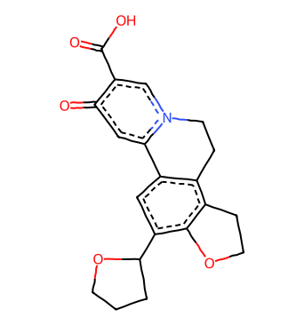 O=C(O)c1cn2c(cc1=O)-c1cc(C3CCCO3)c3c(c1CC2)CCO3